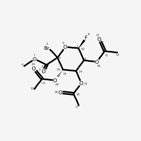 COC(=O)C1(Br)O[C@@H](F)C(OC(C)=O)C(OC(C)=O)[C@@H]1OC(C)=O